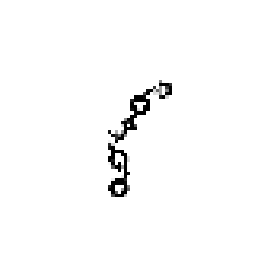 CN(CC1CCN(Cc2ccccc2)CC1)CC1CC(c2ccc(CN3CCCC3)cc2)C1